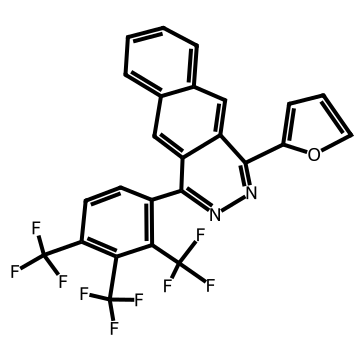 FC(F)(F)c1ccc(-c2nnc(-c3ccco3)c3cc4ccccc4cc23)c(C(F)(F)F)c1C(F)(F)F